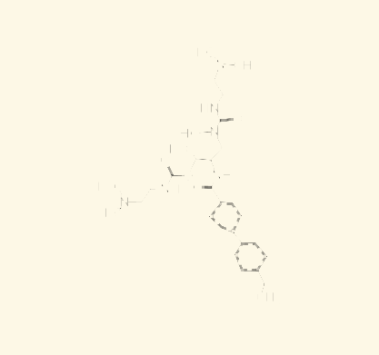 CCc1ccc(-c2ccc(C(=O)NC(CN(O)C(=O)NCCN(C)C)C(C)OC(=O)NCCN(C)C)cc2)cc1